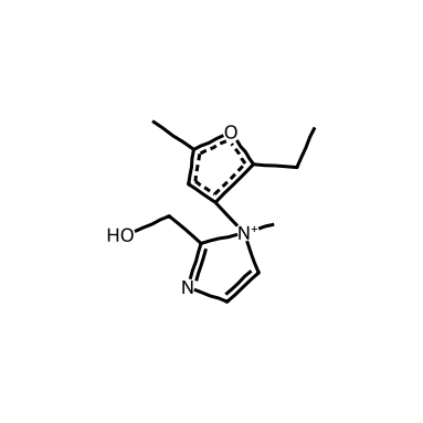 CCc1oc(C)cc1[N+]1(C)C=CN=C1CO